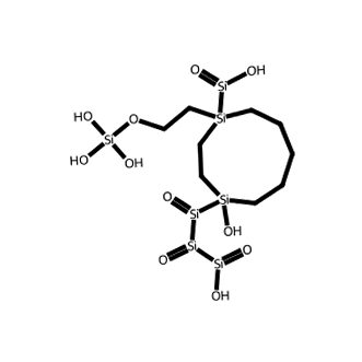 O=[Si](O)[Si](=O)[Si](=O)[Si]1(O)CCCCC[Si](CCO[Si](O)(O)O)([Si](=O)O)CC1